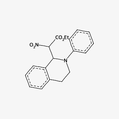 CCOC(=O)C(C1c2ccccc2CCN1c1ccccc1)[N+](=O)[O-]